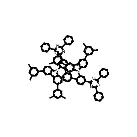 Cc1cc(C)cc(-c2ccc3c(c2)c2cc(-c4cc(C)cc(C)c4)ccc2n3-c2cc(-c3nc(-c4ccccc4)nc(-c4ccccc4)n3)ccc2-c2cccc(-c3ccc(-c4nc(-c5ccccc5)nc(-c5ccccc5)n4)cc3-n3c4ccc(-c5cc(C)cc(C)c5)cc4c4cc(-c5cc(C)cc(C)c5)ccc43)c2)c1